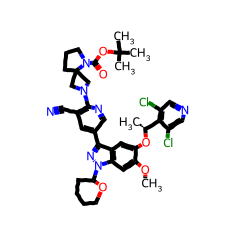 COc1cc2c(cc1O[C@H](C)c1c(Cl)cncc1Cl)c(-c1cnc(N3CC4(CCCN4C(=O)OC(C)(C)C)C3)c(C#N)c1)nn2C1CCCCO1